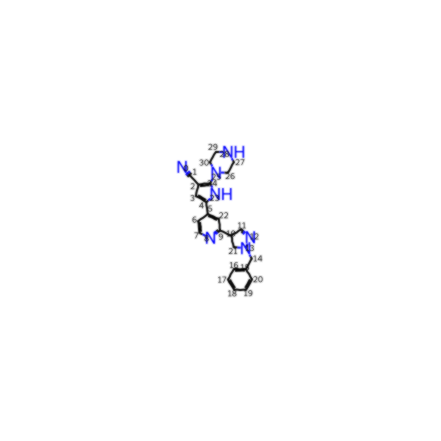 N#Cc1cc(-c2ccnc(C3C=NN(Cc4ccccc4)C3)c2)[nH]c1N1CCNCC1